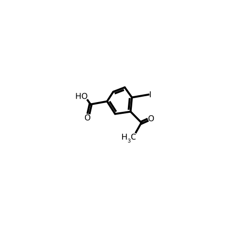 CC(=O)c1cc(C(=O)O)ccc1I